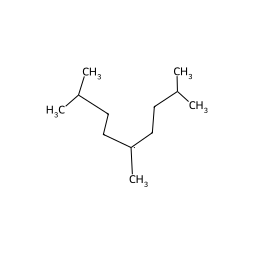 C[C](CCC(C)C)CCC(C)C